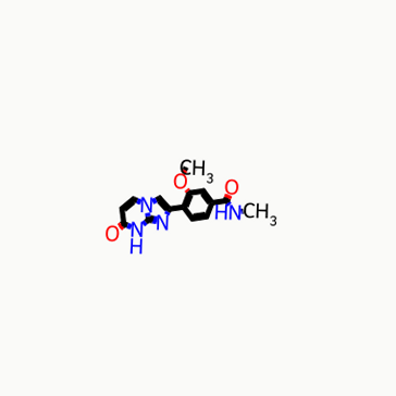 CNC(=O)c1ccc(-c2cn3ccc(=O)[nH]c3n2)c(OC)c1